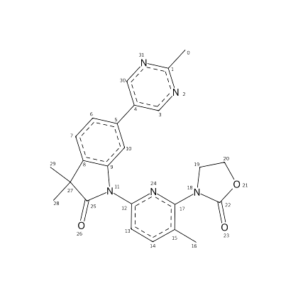 Cc1ncc(-c2ccc3c(c2)N(c2ccc(C)c(N4CCOC4=O)n2)C(=O)C3(C)C)cn1